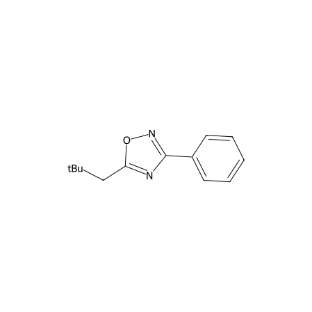 CC(C)(C)Cc1nc(-c2ccccc2)no1